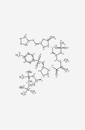 C=C1C[C@H](CCC2OCCO2)O[C@H]1CC[C@H](C[C@H](C)C(=C)C(=O)C[C@@H]1O[C@H](C[C@@H](CO[Si](C)(C)C(C)(C)C)O[Si](C)(C)C(C)(C)C)C[C@H]1CS(=O)(=O)c1ccc(C)cc1)OS(C)(=O)=O